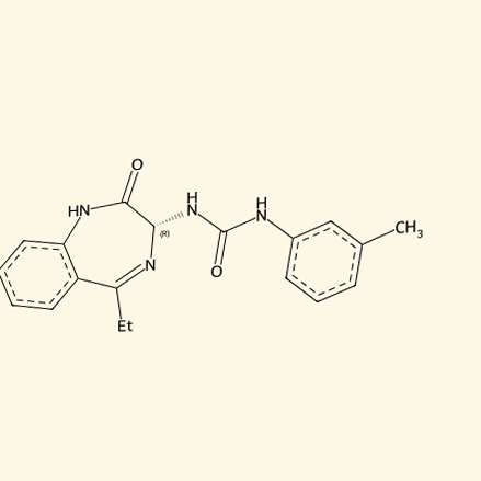 CCC1=N[C@@H](NC(=O)Nc2cccc(C)c2)C(=O)Nc2ccccc21